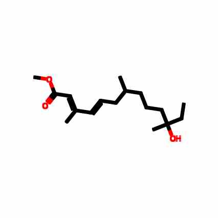 CCC(C)(O)CCCC(C)CC=CC(C)=CC(=O)OC